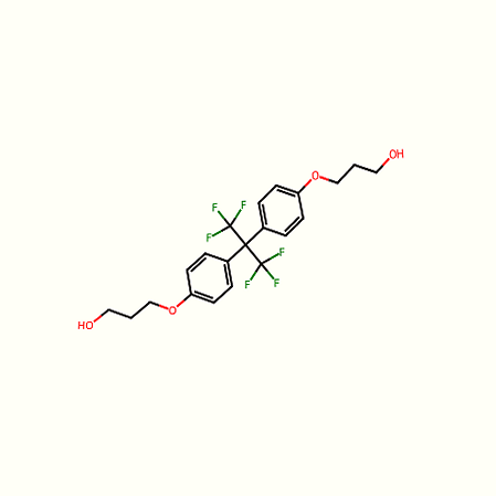 OCCCOc1ccc(C(c2ccc(OCCCO)cc2)(C(F)(F)F)C(F)(F)F)cc1